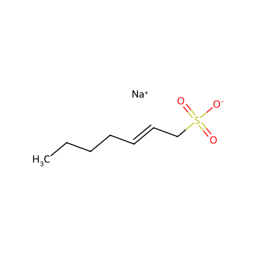 CCCCC=CCS(=O)(=O)[O-].[Na+]